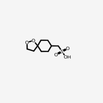 O=S(=O)(O)CC1CCC2(CCOO2)CC1